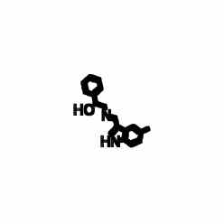 Cc1ccc2[nH]cc(/C=N/CC(O)c3ccccc3)c2c1